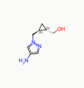 Nc1cnn(C[C@H]2C[C@@H]2CO)c1